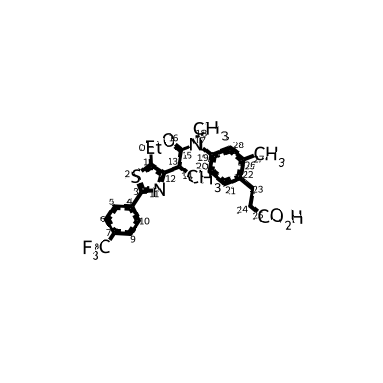 CCc1sc(-c2ccc(C(F)(F)F)cc2)nc1C(C)C(=O)N(C)c1ccc(CCC(=O)O)c(C)c1